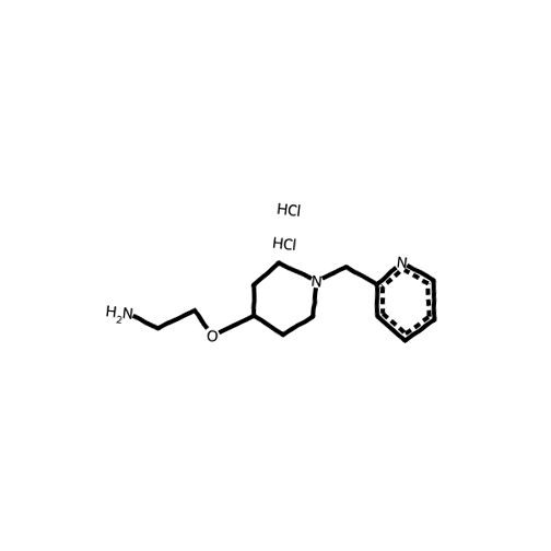 Cl.Cl.NCCOC1CCN(Cc2ccccn2)CC1